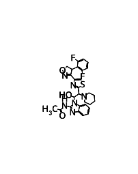 CC(=O)Nc1nc2ccccc2n1C(O)C(c1nc(C2=NOCC2c2c(F)cccc2F)cs1)N1CCCCC1